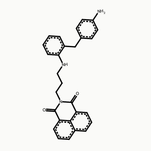 Nc1ccc(Cc2ccccc2NCCCN2C(=O)c3cccc4cccc(c34)C2=O)cc1